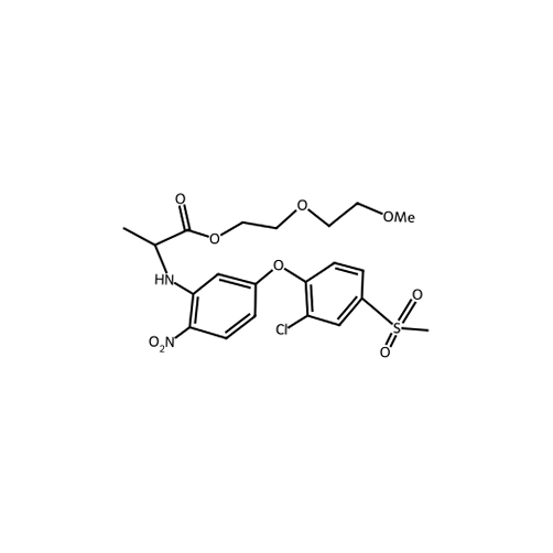 COCCOCCOC(=O)C(C)Nc1cc(Oc2ccc(S(C)(=O)=O)cc2Cl)ccc1[N+](=O)[O-]